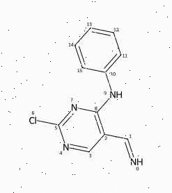 N=Cc1cnc(Cl)nc1Nc1ccccc1